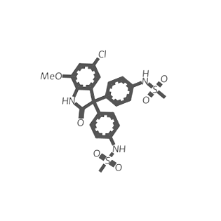 COc1cc(Cl)cc2c1NC(=O)C2(c1ccc(NS(C)(=O)=O)cc1)c1ccc(NS(C)(=O)=O)cc1